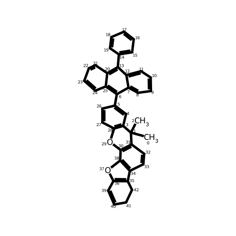 CC1(C)c2cc(-c3c4ccccc4c(-c4ccccc4)c4ccccc34)ccc2Oc2c1ccc1c3c(oc21)C=CCC3